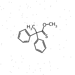 COC(=S)C(C)(c1ccccc1)c1ccccc1